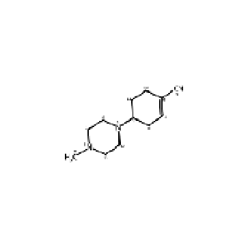 CN1CCN(C2CC=C(C#N)CC2)CC1